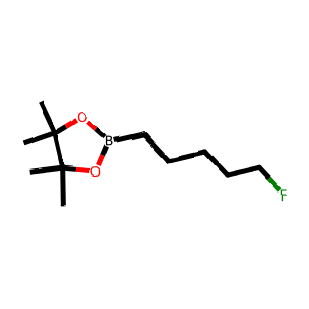 CC1(C)OB(CCCCCF)OC1(C)C